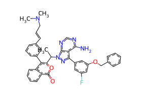 CC(c1oc(=O)c2ccccc2c1-c1cccc(C=CCN(C)C)c1)n1nc(-c2cc(F)cc(OCc3ccccc3)c2)c2c(N)ncnc21